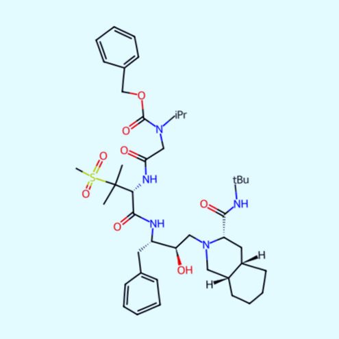 CC(C)N(CC(=O)N[C@H](C(=O)N[C@@H](Cc1ccccc1)[C@H](O)CN1C[C@H]2CCCC[C@H]2C[C@H]1C(=O)NC(C)(C)C)C(C)(C)S(C)(=O)=O)C(=O)OCc1ccccc1